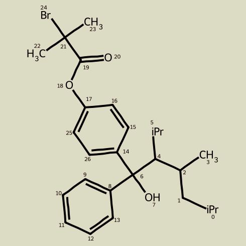 CC(C)CC(C)C(C(C)C)C(O)(c1ccccc1)c1ccc(OC(=O)C(C)(C)Br)cc1